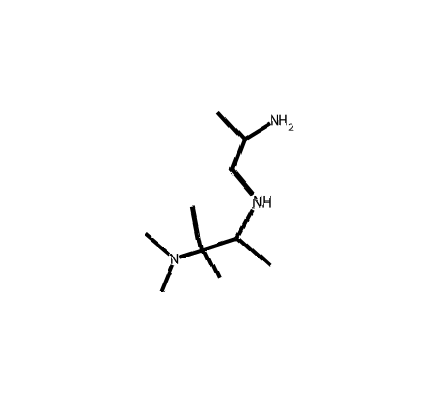 CC(N)CNC(C)C(C)(C)N(C)C